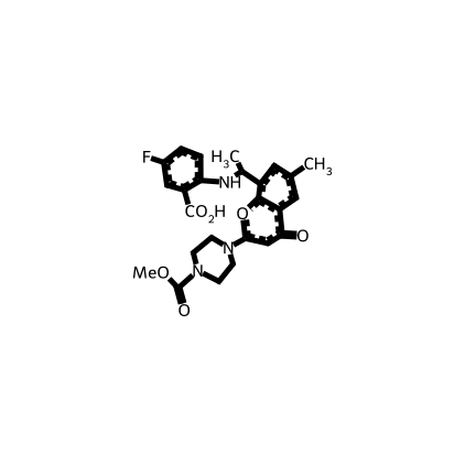 COC(=O)N1CCN(c2cc(=O)c3cc(C)cc(C(C)Nc4ccc(F)cc4C(=O)O)c3o2)CC1